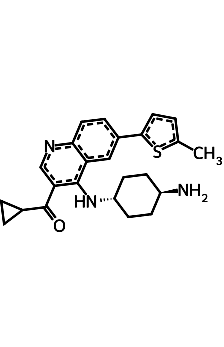 Cc1ccc(-c2ccc3ncc(C(=O)C4CC4)c(N[C@H]4CC[C@H](N)CC4)c3c2)s1